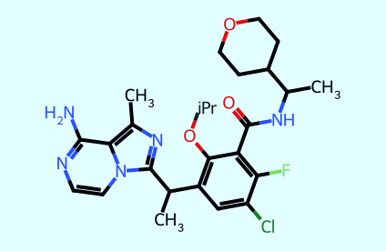 Cc1nc(C(C)c2cc(Cl)c(F)c(C(=O)NC(C)C3CCOCC3)c2OC(C)C)n2ccnc(N)c12